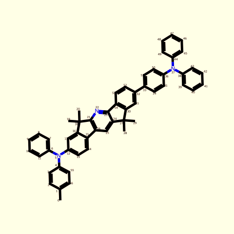 Cc1ccc(N(c2ccccc2)c2ccc3c(c2)C(C)(C)c2nc4c(cc2-3)C(C)(C)c2cc(-c3ccc(N(c5ccccc5)c5ccccc5)cc3)ccc2-4)cc1